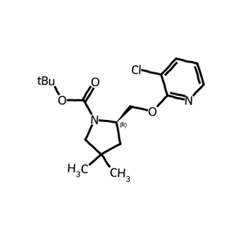 CC1(C)C[C@H](COc2ncccc2Cl)N(C(=O)OC(C)(C)C)C1